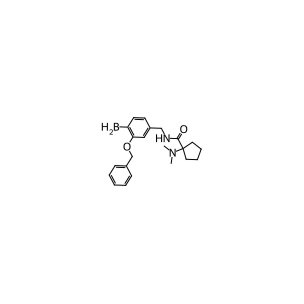 Bc1ccc(CNC(=O)C2(N(C)C)CCCC2)cc1OCc1ccccc1